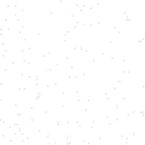 CC(C)(C)OC(=O)C(C(O)C(=O)O)C(N)C1CCC1